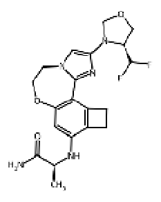 C[C@H](Nc1cc2c(c3c1CC3)-c1nc(N3COC[C@H]3C(F)F)cn1CCO2)C(N)=O